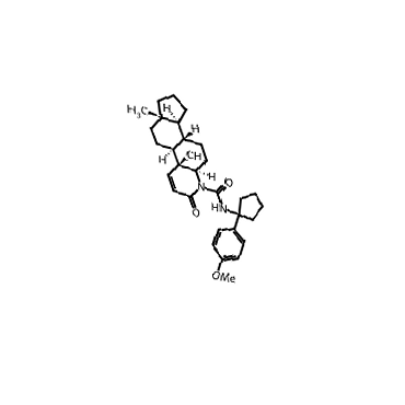 COc1ccc(C2(NC(=O)N3C(=O)C=C[C@]4(C)[C@H]5CC[C@]6(C)CCC[C@H]6[C@@H]5CC[C@@H]34)CCCC2)cc1